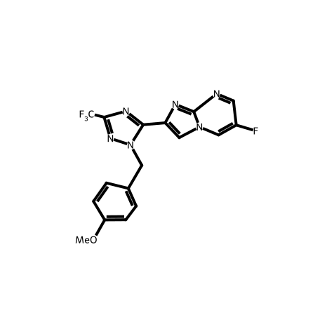 COc1ccc(Cn2nc(C(F)(F)F)nc2-c2cn3cc(F)cnc3n2)cc1